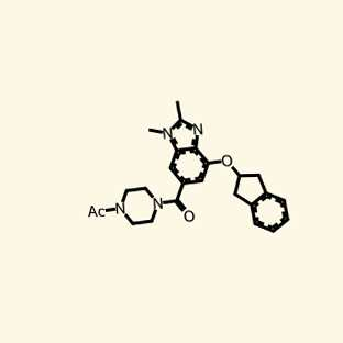 CC(=O)N1CCN(C(=O)c2cc(OC3Cc4ccccc4C3)c3nc(C)n(C)c3c2)CC1